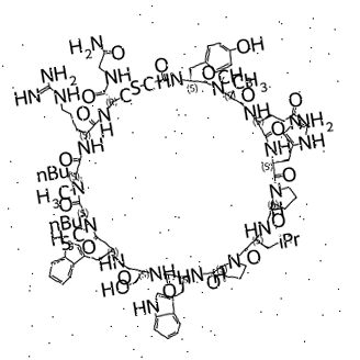 CCCC[C@H]1C(=O)N(C)[C@@H](CCCC)C(=O)N[C@@H](CCCNC(=N)N)C(=O)N[C@H](C(=O)NCC(N)=O)CSCC(=O)N[C@@H](Cc2ccc(O)cc2)C(=O)N(C)[C@@H](C)C(=O)N[C@@H](CCC(N)=O)C(=O)N[C@@H](Cc2cnc[nH]2)C(=O)N2CCC[C@H]2C(=O)N[C@@H](CC(C)C)C(=O)N2CCC[C@H]2C(=O)N[C@@H](Cc2c[nH]c3ccccc23)C(=O)N[C@@H](CO)C(=O)N[C@@H](Cc2csc3ccccc23)C(=O)N1C